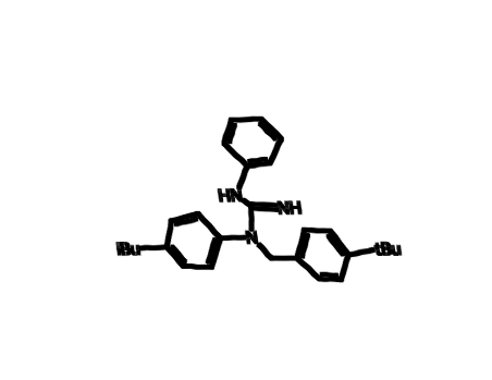 CCC(C)c1ccc(N(Cc2ccc(C(C)(C)C)cc2)C(=N)Nc2ccccc2)cc1